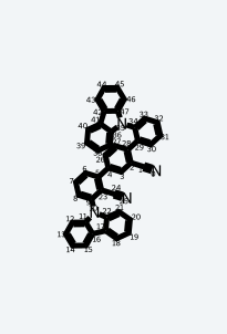 N#Cc1cc(-c2cccc(-n3c4ccccc4c4ccccc43)c2C#N)ccc1-c1ccccc1-n1c2ccccc2c2ccccc21